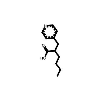 CCCCC(Cc1ccncc1)C(=O)O